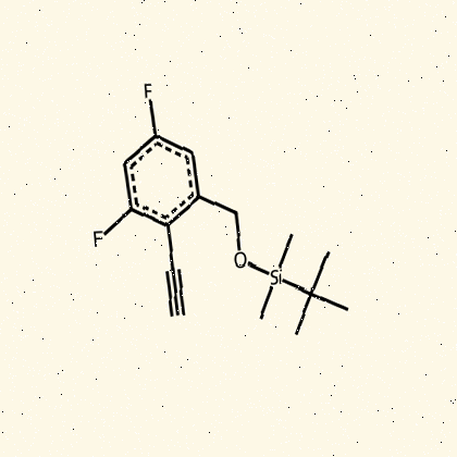 C#Cc1c(F)cc(F)cc1CO[Si](C)(C)C(C)(C)C